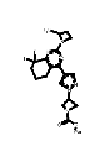 CC1CCN1c1nc(-c2cnn(C3CN(C(=O)OC(C)(C)C)C3)c2)c2c(n1)C(F)(F)CCC2